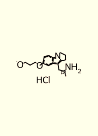 COCCCOc1ccc2c(c1)c(C[C@H](C)N)c1n2CCC1.Cl